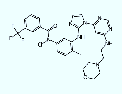 Cc1ccc(N(Cl)C(=O)c2cccc(C(F)(F)F)c2)cc1Nc1nccn1-c1cc(NCCN2CCOCC2)ncn1